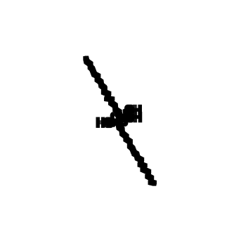 CCCCCCCCCCC=CCCCCCCCCC(OC(CCCCCCCCC=CCCCCCCCCCC)C(O)CO)C(O)CO